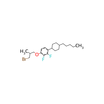 CCCCCC1CCC(c2ccc(OCC(C)CBr)c(F)c2F)CC1